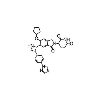 O=C1CCC(N2Cc3cc(OC4CCCC4)c(C4NCC4c4ccc(-n5cccn5)cc4)cc3C2=O)C(=O)N1